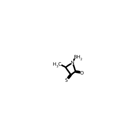 BN1C(=O)C(=S)C1C